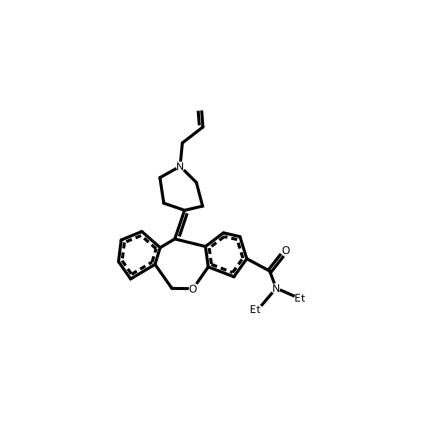 C=CCN1CCC(=C2c3ccccc3COc3cc(C(=O)N(CC)CC)ccc32)CC1